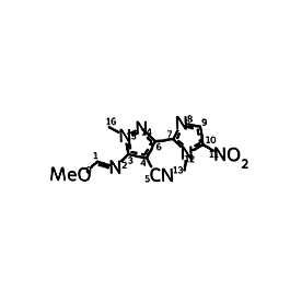 COC=Nc1c(C#N)c(-c2ncc([N+](=O)[O-])n2C)nn1C